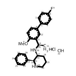 COc1ccc(-c2ccc(F)cc2)cc1[C@@H](C)N[C@H]1CCCN[C@H]1c1ccccc1.Cl.Cl